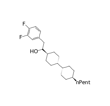 CCCCC[C@H]1CC[C@H]([C@H]2CC[C@H](C(O)Cc3ccc(F)c(F)c3)CC2)CC1